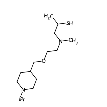 CC(S)CN(C)CCOCC1CCN(C(C)C)CC1